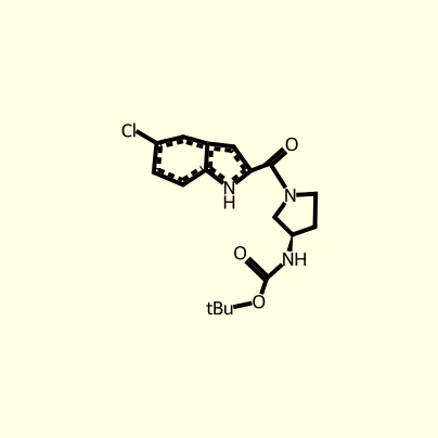 CC(C)(C)OC(=O)N[C@@H]1CCN(C(=O)c2cc3cc(Cl)ccc3[nH]2)C1